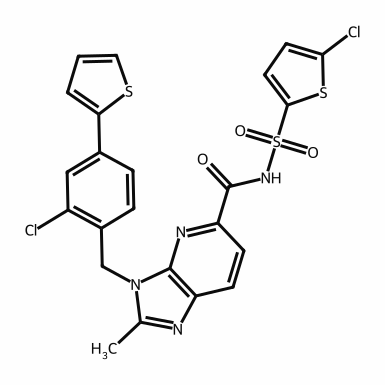 Cc1nc2ccc(C(=O)NS(=O)(=O)c3ccc(Cl)s3)nc2n1Cc1ccc(-c2cccs2)cc1Cl